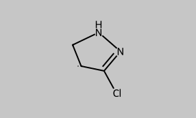 ClC1=NNC[CH]1